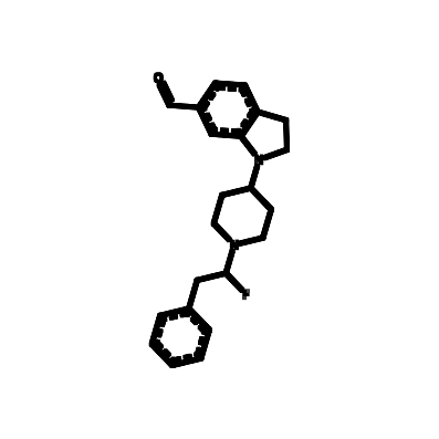 O=Cc1ccc2c(c1)N(C1CCN(C(F)Cc3ccccc3)CC1)CC2